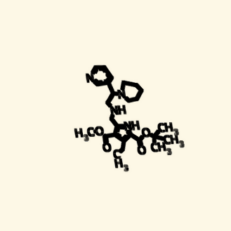 CCc1c(C(=O)OC(C)(C)C)[nH]c(CNCC(c2cccnc2)N2CCCCC2)c1C(=O)OC